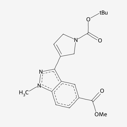 COC(=O)c1ccc2c(c1)c(C1=CCN(C(=O)OC(C)(C)C)C1)nn2C